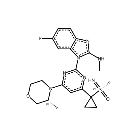 CNc1nc2ccc(F)cc2n1-c1nc(N2CCOC[C@H]2C)cc(C2([S@@](C)(=N)=O)CC2)n1